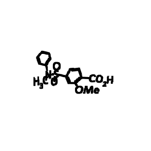 COc1cc(S(=O)(=O)N(C)c2ccccc2)ccc1C(=O)O